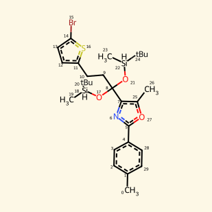 Cc1ccc(-c2nc(C(CCc3ccc(Br)s3)(O[SiH](C)C(C)(C)C)O[SiH](C)C(C)(C)C)c(C)o2)cc1